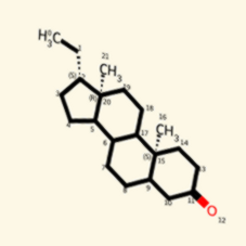 CC[C@H]1CCC2C3CCC4CC(=O)CC[C@]4(C)C3CC[C@@]21C